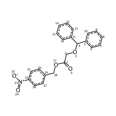 O=C(COC(c1ccccc1)c1ccccc1)OCc1ccc([N+](=O)[O-])cc1